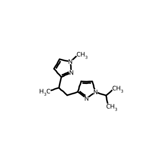 CC(Cc1ccn(C(C)C)n1)c1ccn(C)n1